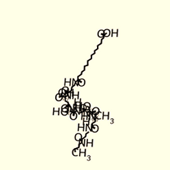 CCCCNC(=O)CCCNC(=O)CC[C@@H](C)NC(=O)[C@H](CO)NC(=O)CNC(=O)[C@H](CO)NC(=O)CC[C@H](NC(=O)CCCNC(=O)CCCCCCCCCCCCCCCCC(=O)O)C(=O)O